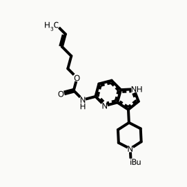 CC=CCCOC(=O)Nc1ccc2[nH]cc(C3CCN(C(C)CC)CC3)c2n1